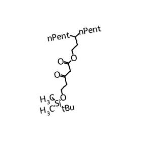 CCCCCC(CCCCC)CCOC(=O)CC(=O)CCO[Si](C)(C)C(C)(C)C